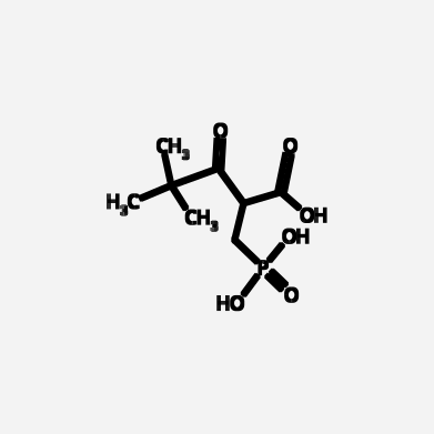 CC(C)(C)C(=O)C(CP(=O)(O)O)C(=O)O